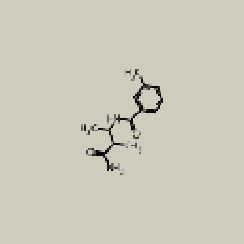 Cc1cccc(C(=O)NC(C)C(C)C(N)=O)c1